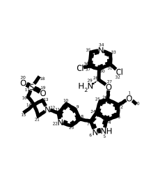 COc1cc2[nH]nc(-c3ccc(N4CC(C)(CS(C)(=O)=O)C4)nc3)c2cc1O[C@H](N)c1c(Cl)cncc1Cl